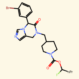 CCCC(F)OC(=O)N1CCC(CN2Cc3cncn3C(c3cccc(Br)c3)C2=O)CC1